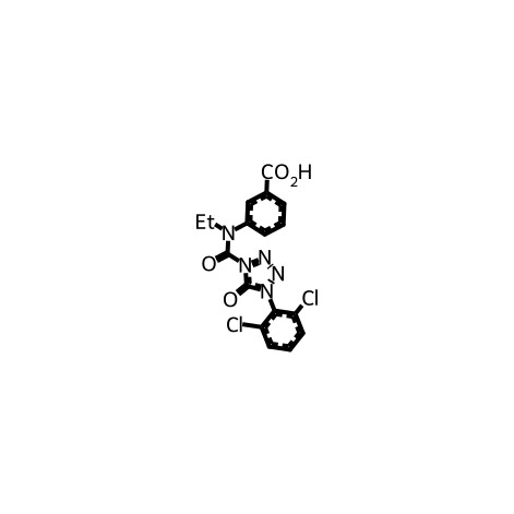 CCN(C(=O)n1nnn(-c2c(Cl)cccc2Cl)c1=O)c1cccc(C(=O)O)c1